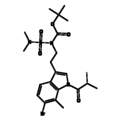 Cc1c(Br)ccc2c(CCN(C(=O)OC(C)(C)C)S(=O)(=O)N(C)C)cn(C(=O)C(C)C)c12